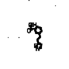 O=S(O)c1cccc(CCc2ccno2)c1